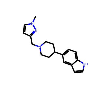 Cn1ccc(CN2CCC(c3ccc4[nH]ccc4c3)CC2)n1